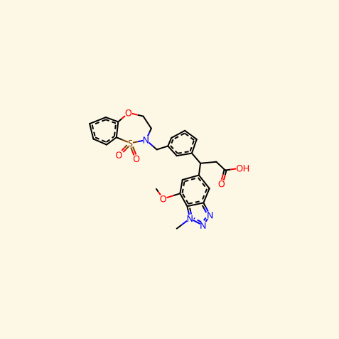 COc1cc(C(CC(=O)O)c2cccc(CN3CCOc4ccccc4S3(=O)=O)c2)cc2nnn(C)c12